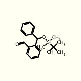 CC(C)(C)[Si](C)(C)OC(c1ccccc1)c1ccccc1C=O